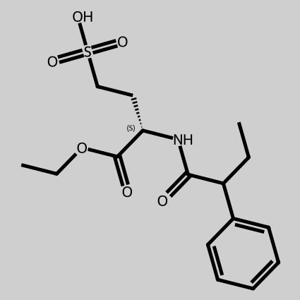 CCOC(=O)[C@H](CCS(=O)(=O)O)NC(=O)C(CC)c1ccccc1